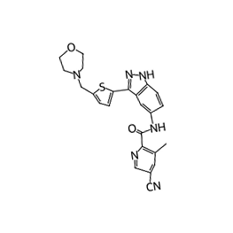 Cc1cc(C#N)cnc1C(=O)Nc1ccc2[nH]nc(-c3ccc(CN4CCOCC4)s3)c2c1